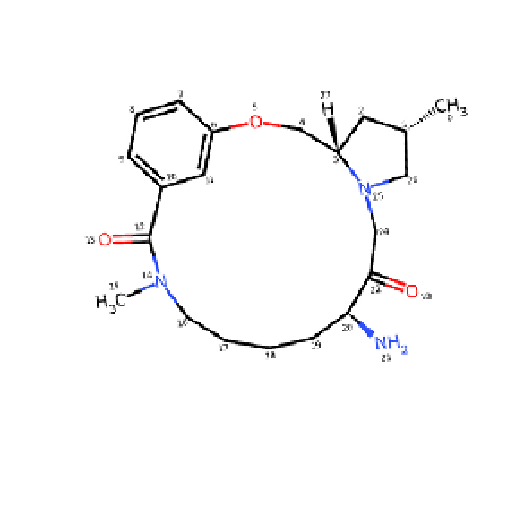 C[C@H]1C[C@H]2COc3cccc(c3)C(=O)N(C)CCCC[C@H](N)C(=O)CN2C1